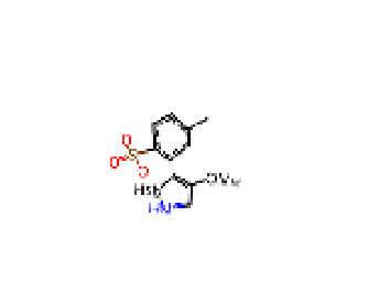 COC1=[CH][SbH][NH+]=C1.Cc1ccc(S(=O)(=O)[O-])cc1